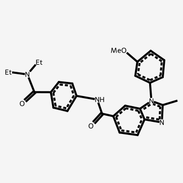 CCN(CC)C(=O)c1ccc(NC(=O)c2ccc3nc(C)n(-c4cccc(OC)c4)c3c2)cc1